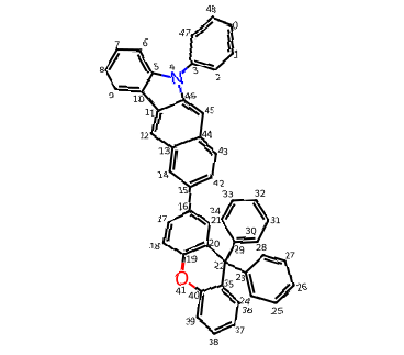 c1ccc(-n2c3ccccc3c3cc4cc(-c5ccc6c(c5)C(c5ccccc5)(c5ccccc5)c5ccccc5O6)ccc4cc32)cc1